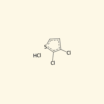 Cl.Clc1ccsc1Cl